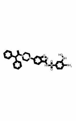 C=C(C(c1ccccc1)c1ccccc1)N1CCN(c2ccc3c(NS(=O)(=O)c4ccc(N)c(NO)c4)noc3c2)CC1